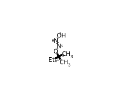 CCC(C)(C)ON=NO